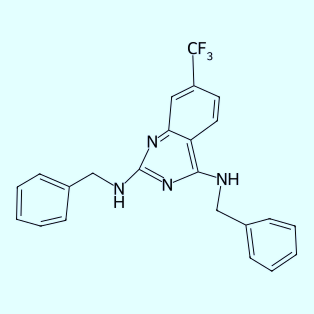 FC(F)(F)c1ccc2c(NCc3ccccc3)nc(NCc3ccccc3)nc2c1